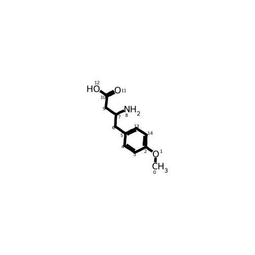 COc1ccc(CC(N)CC(=O)O)cc1